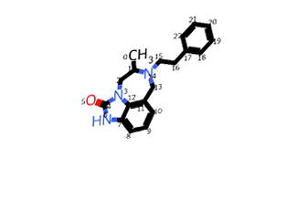 CC1Cn2c(=O)[nH]c3cccc(c32)CN1CCc1ccccc1